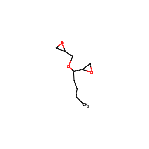 CCCCC(OCC1CO1)C1CO1